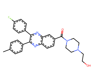 Cc1ccc(-c2nc3ccc(C(=O)N4CCN(CCO)CC4)cc3nc2-c2ccc(F)cc2)cc1